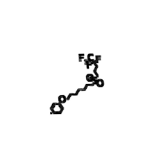 O=S(=O)(CCCCCCCOc1cc[c]cc1)CCCC(F)(F)C(F)(F)F